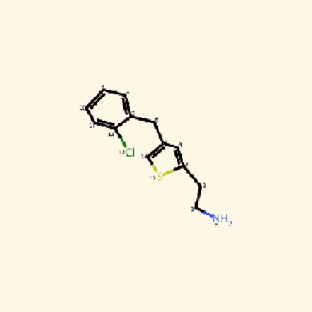 NCCc1cc(Cc2ccccc2Cl)cs1